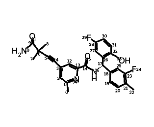 Cc1cc(C#CC(C)(C)C(N)=O)cc(C(=O)N[C@@H](c2ccc(C)c(F)c2)c2cc(F)ccc2O)n1